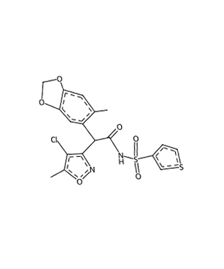 Cc1cc2c(cc1C(C(=O)NS(=O)(=O)c1ccsc1)c1noc(C)c1Cl)OCO2